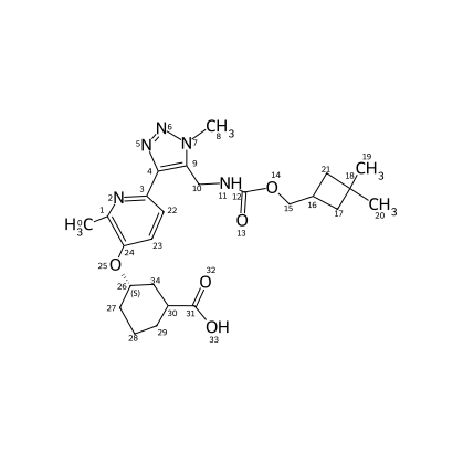 Cc1nc(-c2nnn(C)c2CNC(=O)OCC2CC(C)(C)C2)ccc1O[C@H]1CCCC(C(=O)O)C1